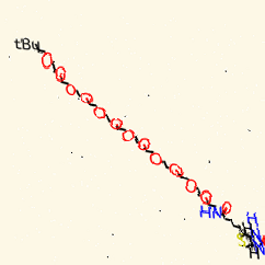 CC(C)(C)CCOCCOCCOCCOCCOCCOCCOCCOCCOCCOCCOCCOCCNC(=O)CCCC[C@@H]1SC[C@@H]2NC(=O)N[C@@H]21